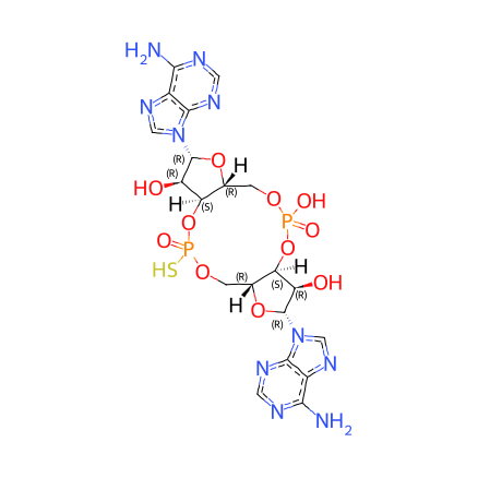 Nc1ncnc2c1ncn2[C@@H]1O[C@@H]2COP(=O)(S)O[C@H]3[C@@H](O)[C@H](n4cnc5c(N)ncnc54)O[C@@H]3COP(=O)(O)O[C@H]2[C@H]1O